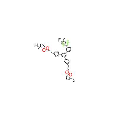 C=CC(=O)OCCCc1ccc(-c2cc(-c3ccc(CCCOC(=O)C=C)cc3)cc(-c3cccc(C(F)(F)C(F)(F)C(F)(F)F)c3)c2)cc1